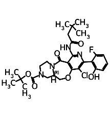 CC(C)(C)CC(=O)Nc1nc(-c2c(O)cccc2F)c(Cl)c2c1C(=O)N1CCN(C(=O)OC(C)(C)C)C[C@@H]1CO2